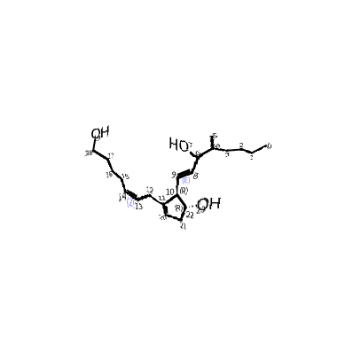 CCCCC(C)C(O)/C=C/[C@@H]1C(C/C=C\CCCCO)=CC[C@H]1O